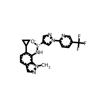 Cn1ncc2ccc(C3CC3)c(N[S+]([O-])c3cnn(-c4ccc(C(F)(F)F)cn4)c3)c21